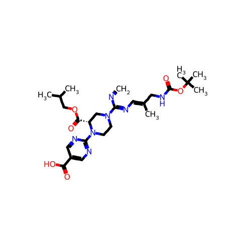 C=N/C(=N\C=C(/C)CNC(=O)OC(C)(C)C)N1CCN(c2ncc(C(=O)O)cn2)[C@H](C(=O)OCC(C)C)C1